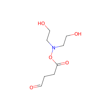 O=CCCC(=O)ON(CCO)CCO